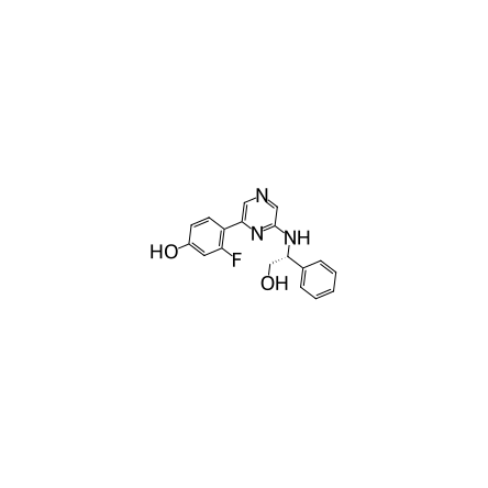 OC[C@H](Nc1cncc(-c2ccc(O)cc2F)n1)c1ccccc1